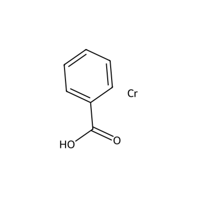 O=C(O)c1ccccc1.[Cr]